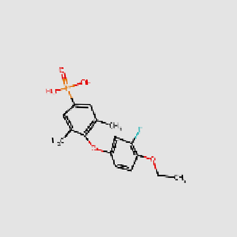 CCOc1ccc(Oc2c(C)cc(P(=O)(O)O)cc2C)cc1F